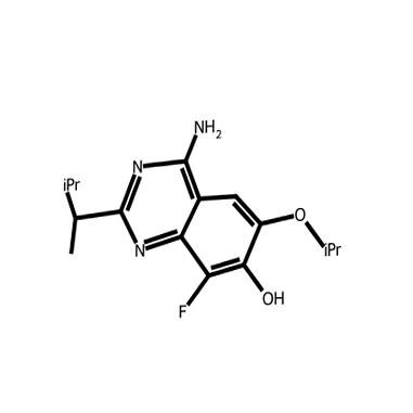 CC(C)Oc1cc2c(N)nc(C(C)C(C)C)nc2c(F)c1O